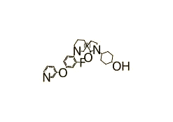 O=C1N(C2CCC(O)CC2)CC[C@@]12CCCN(c1ccc(Oc3cccnc3)cc1F)C2